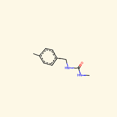 CNC(=O)NCc1ccc(C)cc1